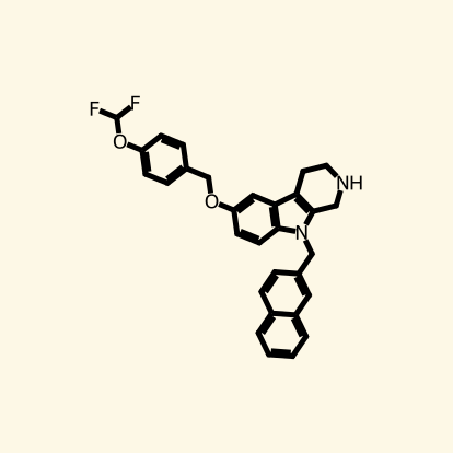 FC(F)Oc1ccc(COc2ccc3c(c2)c2c(n3Cc3ccc4ccccc4c3)CNCC2)cc1